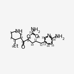 CCC1CCNCC1C(=O)C(CCCc1ccc(N)nc1)OC(N)=O